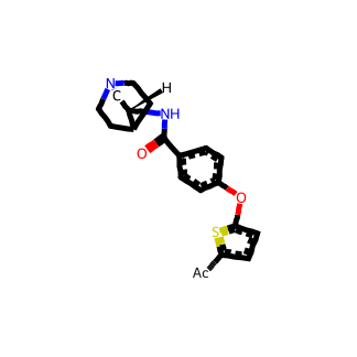 CC(=O)c1ccc(Oc2ccc(C(=O)N[C@H]3CN4CCC3CC4)cc2)s1